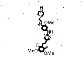 COc1cc(Nc2ncc(CCc3c(F)c(OC)cc(OC)c3F)cn2)ccc1N(C)CCN1CCNCC1